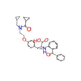 O=C(c1ccccc1)c1ccccc1N[C@@H](Cc1ccc(OCCN(CC2CC2)C(=O)C2CC2)cc1)C(=O)O